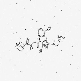 CNc1nc(N2CCC[C@@H](N)C2)n(Cc2ccccc2Cl)c1C(=O)NCC(=O)NC1CN2CCC1CC2